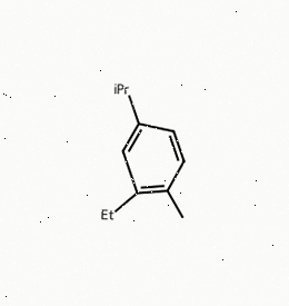 CCc1cc(C(C)C)ccc1C